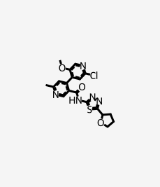 COc1cnc(Cl)cc1-c1cc(C)ncc1C(=O)Nc1nnc(C2CCCO2)s1